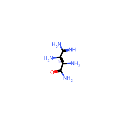 N=C(N)/C(N)=C(\N)C(N)=O